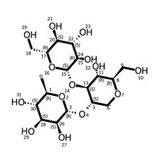 C[C@H]1O[C@H](O[C@H]2[CH]O[C@H](CO)[C@@H](O)[C@@H]2O[C@@H]2O[C@H](CO)[C@@H](O)[C@H](O)[C@H]2O)[C@@H](O)[C@@H](O)[C@@H]1O